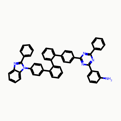 Nc1cccc(-c2nc(-c3ccccc3)nc(-c3ccc(-c4ccccc4-c4ccccc4-c4ccc(-n5c(-c6ccccc6)nc6ccccc65)cc4)cc3)n2)c1